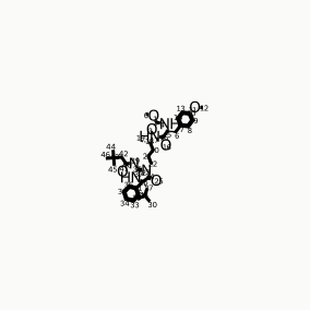 COC(=O)N[C@@H](Cc1ccc(OC)cc1)C(=O)N[C@@H](C)CCCN1C(=O)[C@@](CC(C)C)(c2ccccc2)N/C1=N\C(=O)CC(C)(C)C